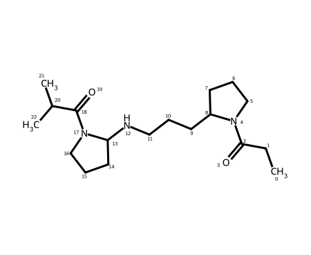 CCC(=O)N1CCCC1CCCNC1CCCN1C(=O)C(C)C